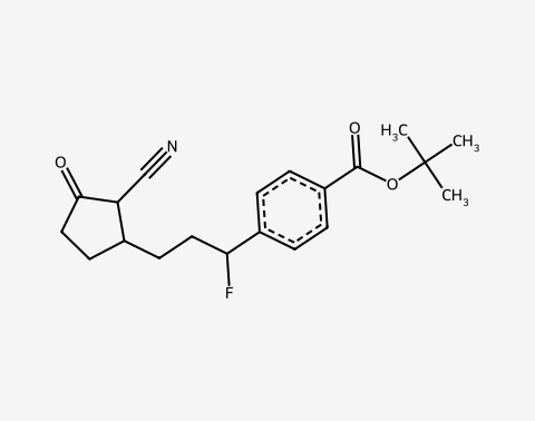 CC(C)(C)OC(=O)c1ccc(C(F)CCC2CCC(=O)C2C#N)cc1